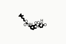 CC1(CCCOC(=O)NCc2ccc3c(c2)C(=O)N(C2CCC(=O)NC2=O)C3)CC1